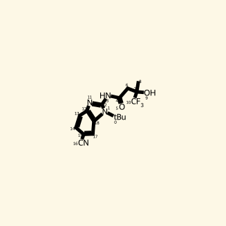 CC(C)(C)n1c(NC(=O)CC(C)(O)C(F)(F)F)nc2ccc(C#N)cc21